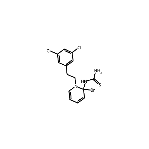 NC(=S)NC1(Br)C=CC=CN1CCc1cc(Cl)cc(Cl)c1